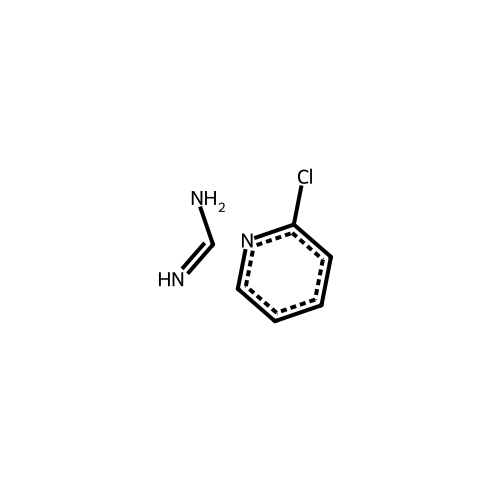 Clc1ccccn1.N=CN